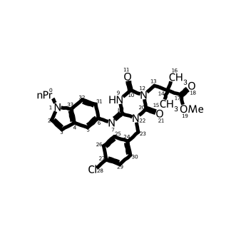 CCCn1ccc2cc(/N=c3\[nH]c(=O)n(CC(C)(C)C(=O)OC)c(=O)n3Cc3ccc(Cl)cc3)ccc21